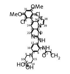 C=CC(=O)Nc1cc(N2CCS(O)(O)CC2)ccc1Nc1ncc2cc(-c3c(Cl)c(OC)cc(OC)c3Cl)c3nccn3c2n1